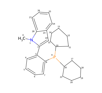 Cn1c(-c2ccccc2P(C2CCCCC2)C2CCCCC2)cc2ccccc21